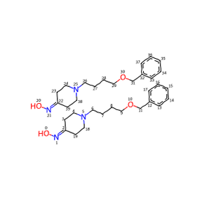 ON=C1CCN(CCCCOCc2ccccc2)CC1.ON=C1CCN(CCCCOCc2ccccc2)CC1